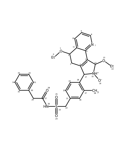 CCOC1CC2=C(c3ncccc31)C(OCC)[NH+]([O-])C2c1ccc(CS(=O)(=O)NC(=O)Cc2ccccc2)cc1C